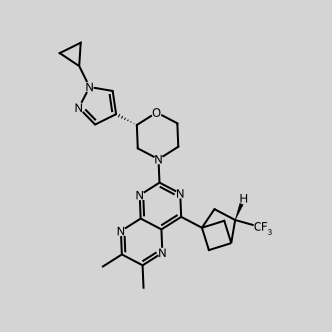 Cc1nc2nc(N3CCO[C@@H](c4cnn(C5CC5)c4)C3)nc(C34CC(C3)[C@@H](C(F)(F)F)C4)c2nc1C